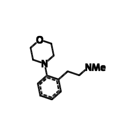 CNCCc1ccccc1N1CCOCC1